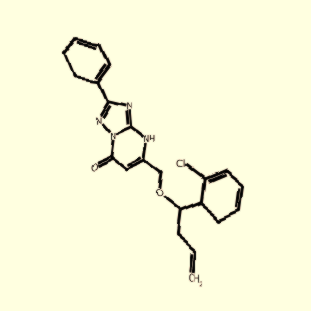 C=CCC(OCc1cc(=O)n2nc(C3=CC=CCC3)nc2[nH]1)C1CC=CC=C1Cl